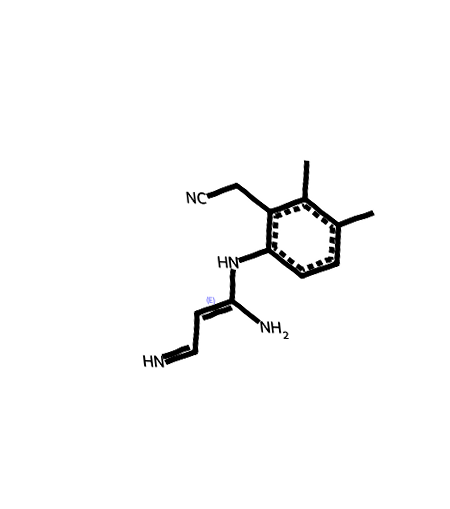 Cc1ccc(N/C(N)=C/C=N)c(CC#N)c1C